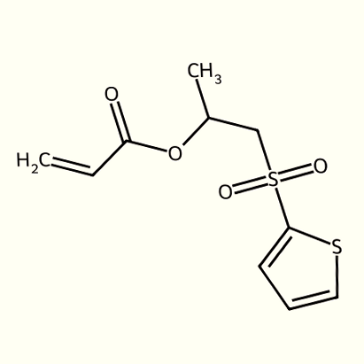 C=CC(=O)OC(C)CS(=O)(=O)c1cccs1